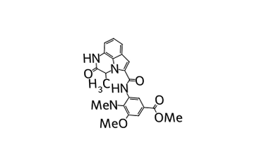 CNc1c(NC(=O)c2cc3cccc4c3n2C(C)C(=O)N4)cc(C(=O)OC)cc1OC